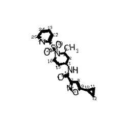 C[C@@H]1C[C@@H](NC(=O)c2cc(C3CC3)on2)CCN1S(=O)(=O)c1ccccn1